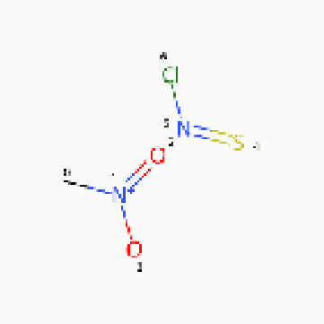 C[N+](=O)[O-].S=NCl